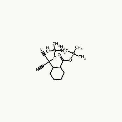 C[Si](C)(C)OC(=O)C1CCCCC1C(C#N)(C#N)O[Si](C)(C)C